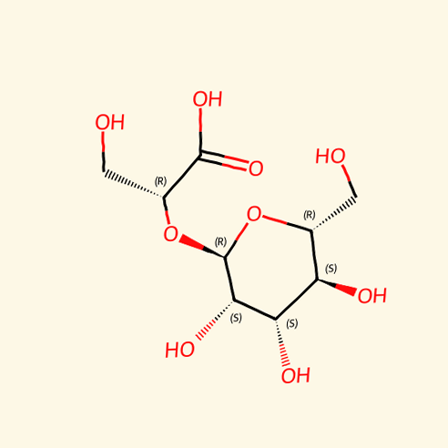 O=C(O)[C@@H](CO)O[C@H]1O[C@H](CO)[C@@H](O)[C@H](O)[C@@H]1O